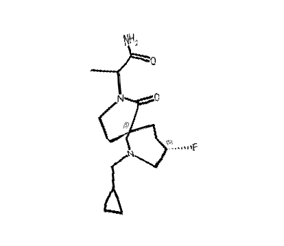 CC(C(N)=O)N1CC[C@]2(C[C@H](F)CN2CC2CC2)C1=O